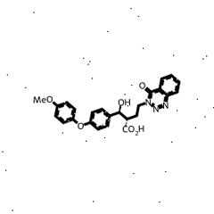 COc1ccc(Oc2ccc([C@@H](O)[C@H](CCn3nnc4ccccc4c3=O)C(=O)O)cc2)cc1